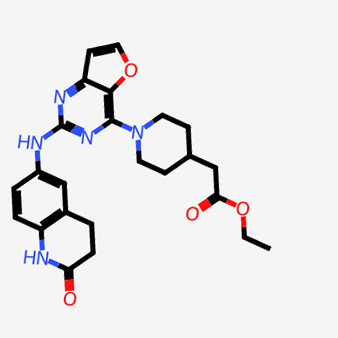 CCOC(=O)CC1CCN(c2nc(Nc3ccc4c(c3)CCC(=O)N4)nc3ccoc23)CC1